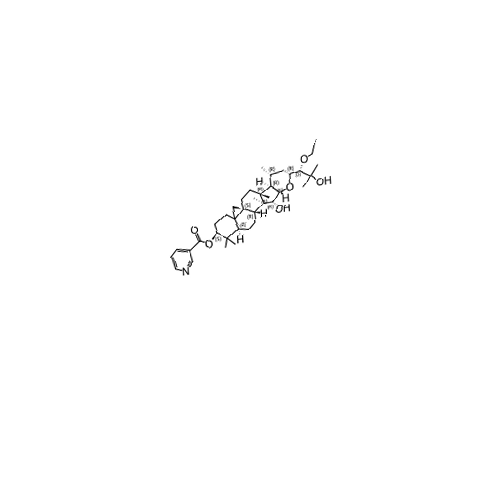 CCO[C@@H]([C@H]1C[C@@H](C)[C@H]2[C@H](O1)[C@H](O)[C@@]1(C)[C@@H]3CC[C@H]4C(C)(C)[C@@H](OC(=O)c5cccnc5)CCC45C[C@@]35CC[C@]21C)C(C)(C)O